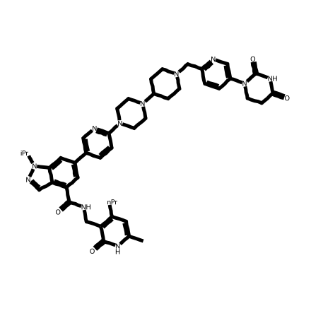 CCCc1cc(C)[nH]c(=O)c1CNC(=O)c1cc(-c2ccc(N3CCN(C4CCN(Cc5ccc(N6CCC(=O)NC6=O)cn5)CC4)CC3)nc2)cc2c1cnn2C(C)C